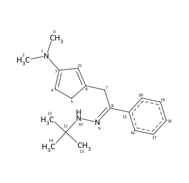 CN(C)C1=CCC(CC(=NNC(C)(C)C)c2ccccc2)=C1